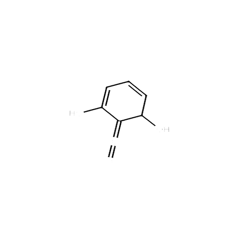 O=C=C1C(O)=CC=CC1O